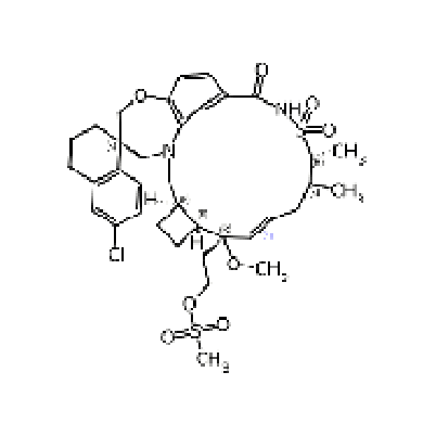 CO[C@@]1(CCOS(C)(=O)=O)/C=C/C[C@H](C)[C@@H](C)S(=O)(=O)NC(=O)c2ccc3c(c2)N(C[C@@H]2CC[C@H]21)C[C@@]1(CCCc2cc(Cl)ccc21)CO3